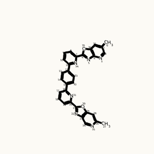 Cc1cnc2nc(-c3cccc(-c4ccc(-c5cccc(-c6nc7cnc(C)cc7o6)n5)cc4)n3)oc2c1